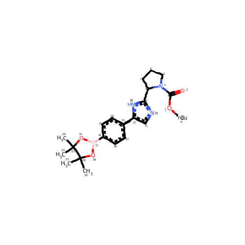 CCCCOC(=O)N1CCCC1c1ncc(-c2ccc(B3OC(C)(C)C(C)(C)O3)cc2)[nH]1